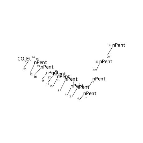 CCCCCC.CCCCCC.CCCCCC.CCCCCC.CCCCCC.CCCCCC.CCCCCC.CCCCCC.CCCCCC.CCCCCC.CCCCCC.CCCCCC.CCOC(C)=O